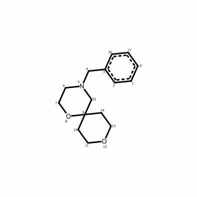 c1ccc(CN2CCOC3(CCOCC3)C2)cc1